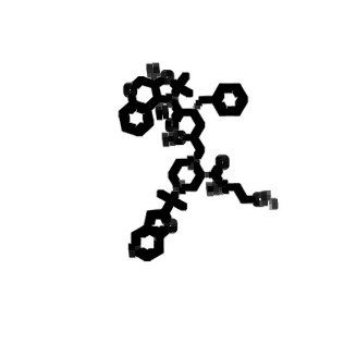 CC1(C)O[C@@H]2COc3ccccc3[C@@H]2N1C(=O)[C@H](Cc1ccccc1)C[C@H](O)CN1CCN(C(C)(C)c2cc3cnccc3o2)C[C@H]1C(=O)NCCC(F)(F)F